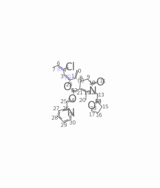 C=C(/C=C\C(Cl)=C/C)[C@@H]1CC(=O)N(C[C@H]2CCCO2)C(C)=C1C(=O)OCc1ccccn1